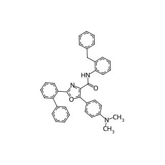 CN(C)c1ccc(-c2oc(-c3ccccc3-c3ccccc3)nc2C(=O)Nc2ccccc2Cc2ccccc2)cc1